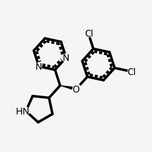 Clc1cc(Cl)cc(O[C@H](c2ncccn2)C2CCNC2)c1